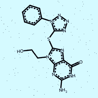 Nc1nc2c(nc(Sc3nnnn3-c3ccccc3)n2CCO)c(=O)[nH]1